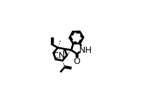 [C-]#[N+][C@]12C([C@H](C(=C)C)CC[C@@]1(C)C=C)[C@]21C(=O)Nc2ccccc21